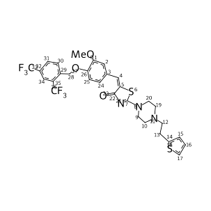 COc1cc(C=C2SC(N3CCN(CCc4cccs4)CC3)=NC2=O)ccc1OCc1ccc(C(F)(F)F)cc1C(F)(F)F